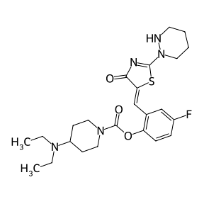 CCN(CC)C1CCN(C(=O)Oc2ccc(F)cc2/C=C2\SC(N3CCCCN3)=NC2=O)CC1